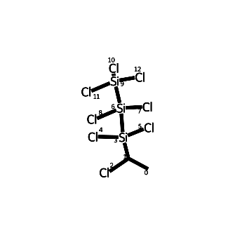 CC(Cl)[Si](Cl)(Cl)[Si](Cl)(Cl)[Si](Cl)(Cl)Cl